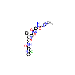 CN1CCN(CCC(=O)Nc2ccc3c(=O)n(CC4(O)CCN(C(=O)[C@H](CCCNC(=O)c5ccc6c(Cl)c7c(nc6c5)CCCC7)CCc5ccccc5)CC4)cnc3c2)CC1